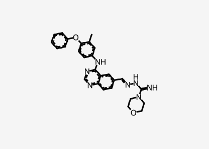 Cc1cc(Nc2ncnc3ccc(/C=N/NC(=N)N4CCOCC4)cc23)ccc1Oc1ccccc1